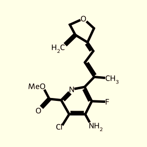 C=C1COC/C1=C/C=C(\C)c1nc(C(=O)OC)c(Cl)c(N)c1F